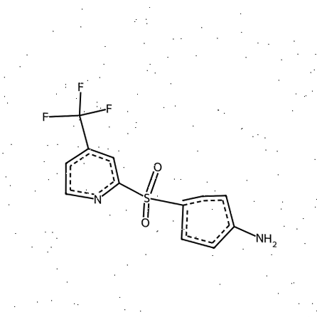 Nc1ccc(S(=O)(=O)c2cc(C(F)(F)F)ccn2)cc1